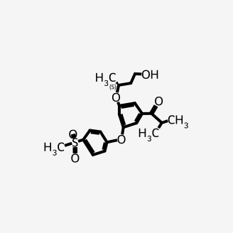 CC(C)C(=O)c1cc(Oc2ccc(S(C)(=O)=O)cc2)cc(O[C@@H](C)CCO)c1